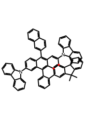 CC1(C)c2ccccc2-c2ccc(-c3ccccc3-c3c4ccc(-n5c6ccccc6c6ccccc65)cc4c(-c4ccc5ccccc5c4)c4ccc(-n5c6ccccc6c6ccccc65)cc34)cc21